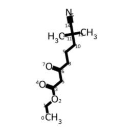 CCOC(=O)CC(=O)CCCC(C)(C)C#N